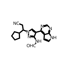 N#CCC(C1CCCC1)n1cc(-c2ncnc3[nH]ccc23)c(NC=O)n1